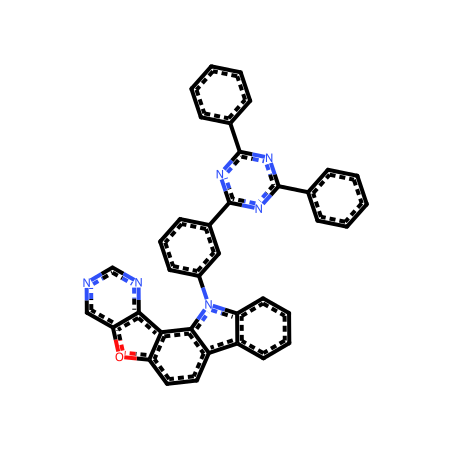 c1ccc(-c2nc(-c3ccccc3)nc(-c3cccc(-n4c5ccccc5c5ccc6oc7cncnc7c6c54)c3)n2)cc1